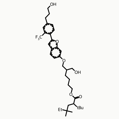 CCC(C)(C)CC(C(=O)OCCCCC(CO)COc1ccc2cc(-c3ccc(CCCO)cc3C(F)(F)F)oc2c1)C(C)(C)C